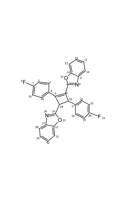 Fc1ccc(C2=C(c3nc4ccccc4o3)C(c3ccc(F)cc3)C2c2nc3ccccc3o2)cc1